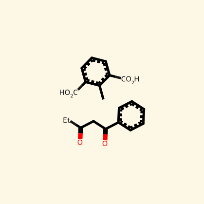 CCC(=O)CC(=O)c1ccccc1.Cc1c(C(=O)O)cccc1C(=O)O